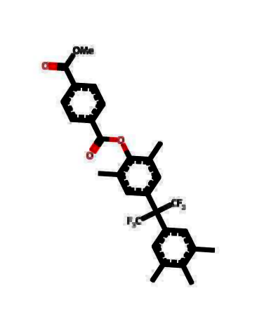 COC(=O)c1ccc(C(=O)Oc2c(C)cc(C(c3cc(C)c(C)c(C)c3)(C(F)(F)F)C(F)(F)F)cc2C)cc1